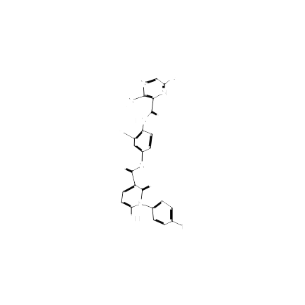 Cc1ccc(C(=O)Nc2ccc(NC(=O)c3nc(Br)cnc3N)c(F)c2)c(=O)n1-c1ccc(F)cc1